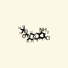 Cc1c(N)cc(Cl)cc1CN1CCN(C(=O)OC(C)(C)C)C(C)C1